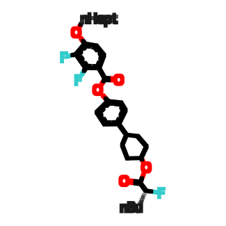 CCCCCCCOc1ccc(C(=O)Oc2ccc(C3CCC(OC(=O)[C@H](F)CCCC)CC3)cc2)c(F)c1F